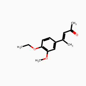 CCOc1ccc(C(C)=CC(C)=O)cc1OC